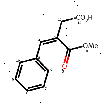 COC(=O)C(=Cc1ccccc1)CC(=O)O